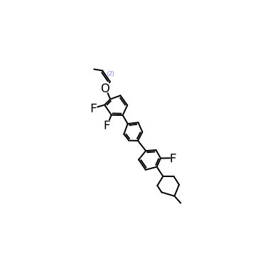 C/C=C\Oc1ccc(-c2ccc(-c3ccc(C4CCC(C)CC4)c(F)c3)cc2)c(F)c1F